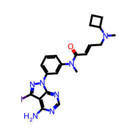 CN(C(=O)C=CCN(C)C1CCC1)c1cccc(-n2nc(I)c3c(N)ncnc32)c1